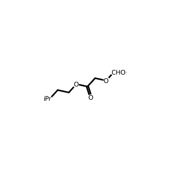 CC(C)CCOC(=O)CO[C]=O